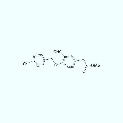 COC(=O)Cc1ccc(OCc2ccc(Cl)cc2)c(C=O)c1